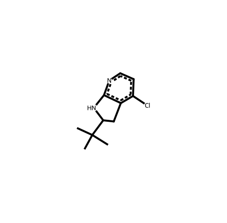 CC(C)(C)C1Cc2c(Cl)ccnc2N1